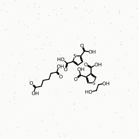 O=C(O)CCCCC(=O)O.O=C(O)c1ccc(C(=O)O)s1.O=C(O)c1cscc1C(=O)O.OCCO